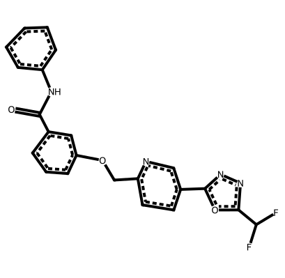 O=C(Nc1ccccc1)c1cccc(OCc2ccc(-c3nnc(C(F)F)o3)cn2)c1